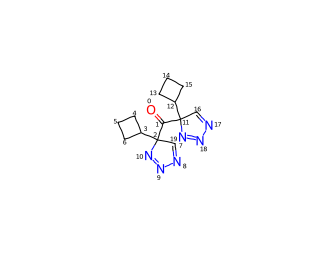 O=C(C1(C2CCC2)C=NN=N1)C1(C2CCC2)C=NN=N1